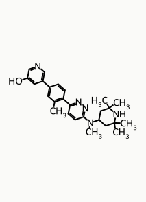 Cc1cc(-c2cncc(O)c2)ccc1-c1ccc(N(C)C2CC(C)(C)NC(C)(C)C2)nn1